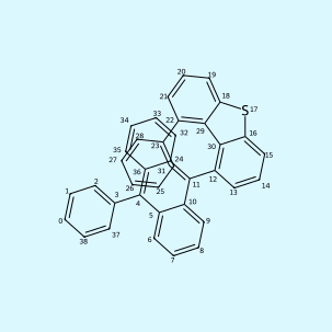 c1ccc(-c2c3ccccc3c(-c3cccc4sc5cccc(-c6ccccc6)c5c34)c3ccccc23)cc1